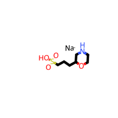 O=S(=O)(O)CCCC1CNCCO1.[Na]